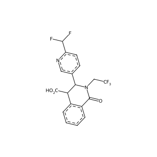 O=C(O)C1c2ccccc2C(=O)N(CC(F)(F)F)C1c1ccc(C(F)F)nc1